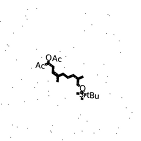 CC(=O)OC(CC=C(C)CCCC(C)CO[Si](C)(C)C(C)(C)C)C(C)=O